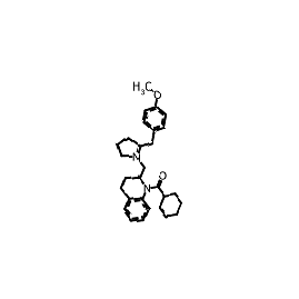 COc1ccc(CC2CCCN2CC2CCc3ccccc3N2C(=O)C2CCCCC2)cc1